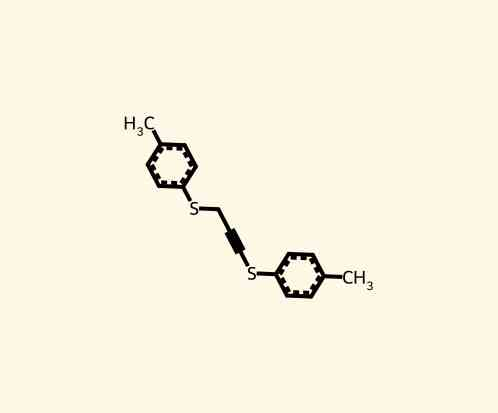 Cc1ccc(SC#CCSc2ccc(C)cc2)cc1